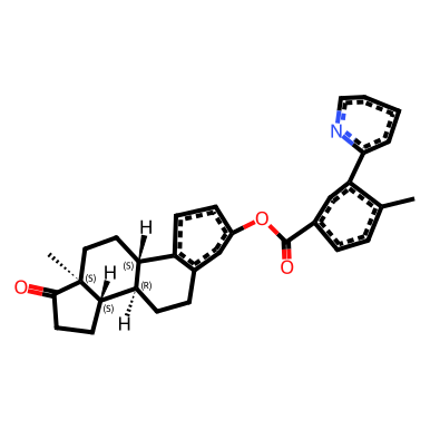 Cc1ccc(C(=O)Oc2ccc3c(c2)CC[C@@H]2[C@@H]3CC[C@]3(C)C(=O)CC[C@@H]23)cc1-c1ccccn1